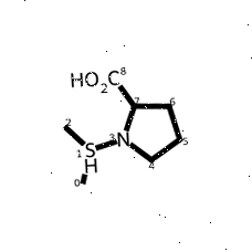 C[SH](C)N1CCCC1C(=O)O